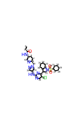 C=CC(=O)Nc1ccc(Cn2cc(Nc3ncc(Cl)c(-c4cn(S(=O)(=O)c5ccccc5)c5ccccc45)n3)cn2)nc1